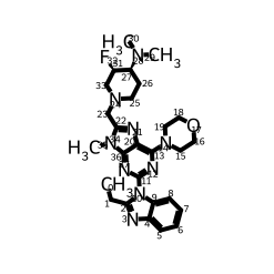 CCc1nc2ccccc2n1-c1nc(N2CCOCC2)c2nc(CN3CC[C@H](N(C)C)[C@H](F)C3)n(C)c2n1